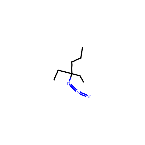 CCCC(CC)(CC)N=[N+]=[N-]